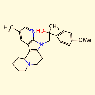 COc1ccc(C(C)(O)Cn2c3c(c4cc(C)cnc42)C2CCCCN2CC3)cc1